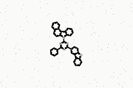 c1ccc(-c2nc(-c3ccc4oc5ccccc5c4c3)nc(-n3c4ccccc4c4c5ccccc5ccc43)n2)cc1